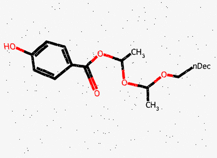 CCCCCCCCCCCOC(C)OC(C)OC(=O)c1ccc(O)cc1